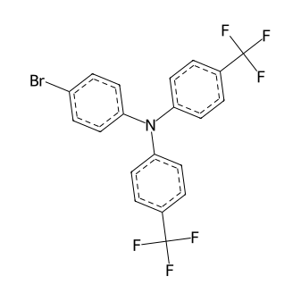 FC(F)(F)c1ccc(N(c2ccc(Br)cc2)c2ccc(C(F)(F)F)cc2)cc1